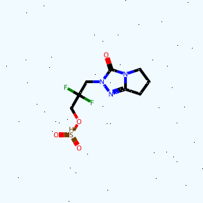 O=c1n(CC(F)(F)CO[SH](=O)=O)nc2n1CCC2